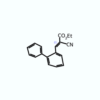 CCOC(=O)/C(C#N)=C/c1ccccc1-c1ccccc1